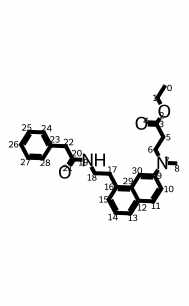 CCOC(=O)CCN(C)c1ccc2cccc(CCNC(=O)Cc3ccccc3)c2c1